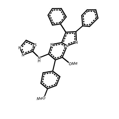 COc1ccc(-c2c(Nc3nncs3)nc3c(-c4ccccc4)c(-c4ccccc4)nn3c2OC)cc1